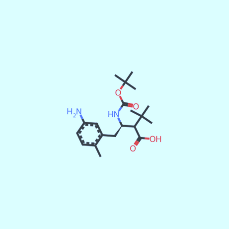 Cc1ccc(N)cc1C[C@@H](NC(=O)OC(C)(C)C)C(C(=O)O)C(C)(C)C